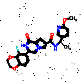 COc1ccc([C@H](C)NC(=O)c2cc3c(=O)[nH]c(-c4ccc5c(c4F)OCCO5)cn3c2)cn1